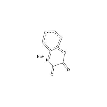 O=C1N=c2ccccc2=NC1=O.[NaH]